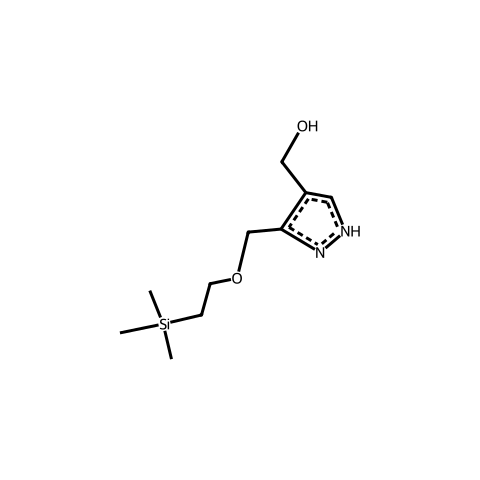 C[Si](C)(C)CCOCc1n[nH]cc1CO